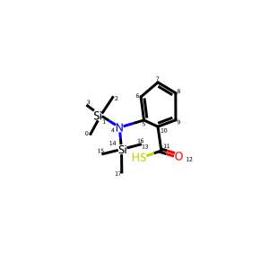 C[Si](C)(C)N(c1ccccc1C(=O)S)[Si](C)(C)C